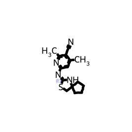 Cc1cc(/N=C2\NC3(CCCC3)CS2)nc(C)c1C#N